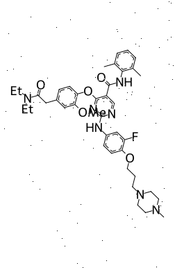 CCN(CC)C(=O)Cc1ccc(Oc2nc(Nc3ccc(OCCCN4CCN(C)CC4)c(F)c3)ncc2C(=O)Nc2c(C)cccc2C)c(OC)c1